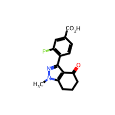 Cn1nc(-c2ccc(C(=O)O)cc2F)c2c1CCCC2=O